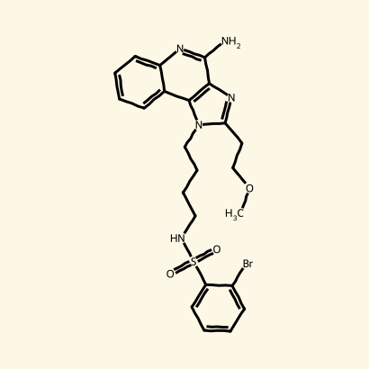 COCCc1nc2c(N)nc3ccccc3c2n1CCCCNS(=O)(=O)c1ccccc1Br